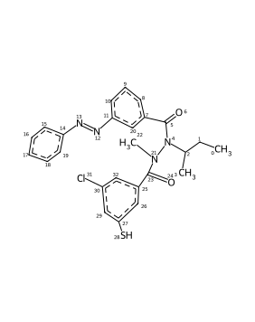 CCC(C)N(C(=O)c1cccc(N=Nc2ccccc2)c1)N(C)C(=O)c1cc(S)cc(Cl)c1